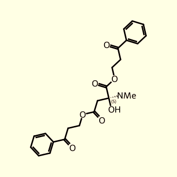 CN[C@](O)(CC(=O)OCCC(=O)c1ccccc1)C(=O)OCCC(=O)c1ccccc1